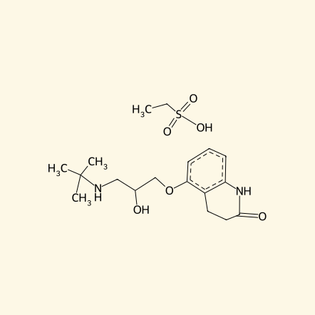 CC(C)(C)NCC(O)COc1cccc2c1CCC(=O)N2.CCS(=O)(=O)O